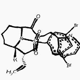 C=C[C@H]1CN(Cc2ccccn2)C(=O)C2CCC[C@@H]1N2S(=O)(=O)c1cc(Br)cc(Br)c1